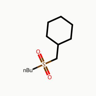 CCCCS(=O)(=O)C[C]1CCCCC1